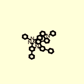 c1ccc(-c2ccc(-c3nc(-c4ccccc4)nc(-c4ccccc4)n3)c(-n3c4ccc(-c5ccccc5)cc4c4c(-c5cccc6c5c5ccccc5n6-c5ccccc5)cccc43)c2)cc1